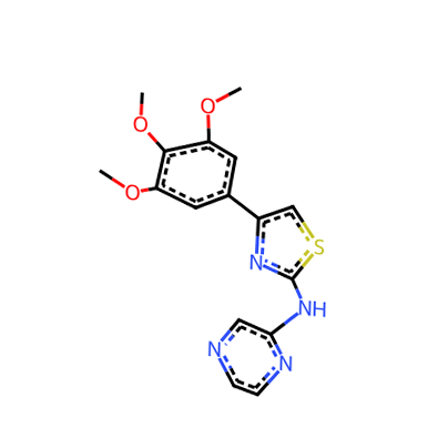 COc1cc(-c2csc(Nc3cnccn3)n2)cc(OC)c1OC